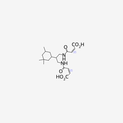 CC1CC(C(CNC(=O)/C=C\C(=O)O)CNC(=O)/C=C\C(=O)O)CC(C)(C)C1